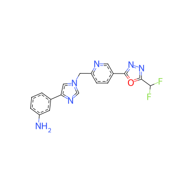 Nc1cccc(-c2cn(Cc3ccc(-c4nnc(C(F)F)o4)cn3)cn2)c1